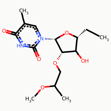 CC[C@H]1O[C@@H](n2cc(C)c(=O)[nH]c2=O)[C@@H](OCC(C)OC)C1O